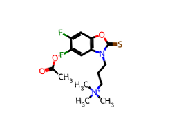 CC(=O)[O-].C[N+](C)(C)CCCn1c(=S)oc2cc(F)c(F)cc21